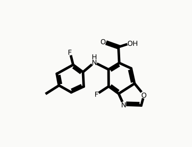 Cc1ccc(Nc2c(C(=O)O)cc3ocnc3c2F)c(F)c1